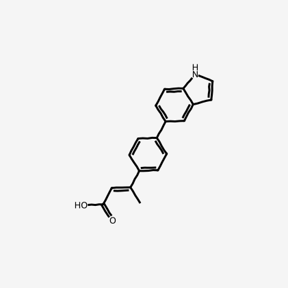 C/C(=C\C(=O)O)c1ccc(-c2ccc3[nH]ccc3c2)cc1